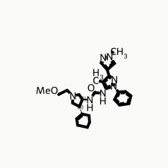 COCCN1C[C@@H](NC(=O)Nc2c(C)c(-c3cnn(C)c3)nn2-c2ccccc2)[C@H](C2=CCCCC2)C1